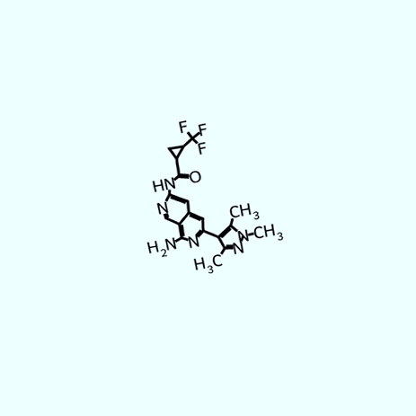 Cc1nn(C)c(C)c1-c1cc2cc(NC(=O)C3CC3C(F)(F)F)ncc2c(N)n1